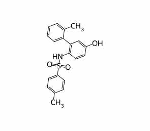 Cc1ccc(S(=O)(=O)Nc2ccc(O)cc2-c2ccccc2C)cc1